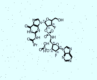 CC(C)C(=O)Nc1nc2c(ncn2[C@@H]2OC(CO)[C@@H](F)[C@H]2OS(=O)(=O)NC[C@H]2O[C@@H](n3cnc4cncnc43)[C@H](F)[C@@H]2O[PH](=O)O)c(=O)[nH]1